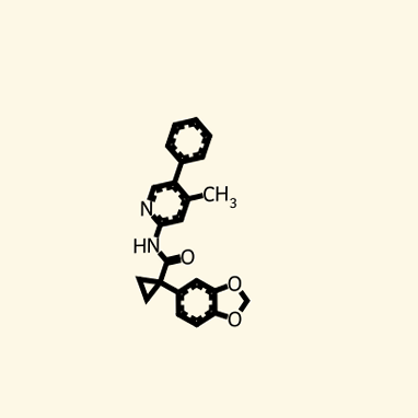 Cc1cc(NC(=O)C2(c3ccc4c(c3)OCO4)CC2)ncc1-c1ccccc1